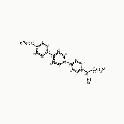 CCCCCc1ccc(-c2ncc(-c3ccc(C(CC)C(=O)O)cc3)cn2)cc1